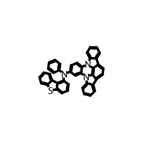 c1ccc(N(c2ccc3c(c2)n2c4ccccc4c4ccc5c6ccccc6n3c5c42)c2cccc3sc4ccccc4c23)cc1